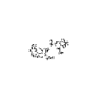 Br.CCOc1cc2c(cc1C(=O)NC)C(=N)N(CC(=O)c1cc(N(C)C)c(OCC)c(C(C)(C)C)c1)C2